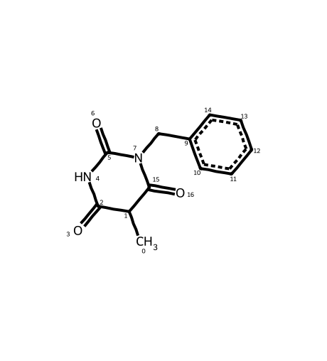 CC1C(=O)NC(=O)N(Cc2ccccc2)C1=O